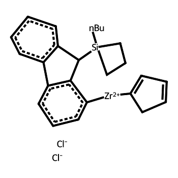 CCCC[Si]1(C2c3ccccc3-c3ccc[c]([Zr+2][C]4=CC=CC4)c32)CCC1.[Cl-].[Cl-]